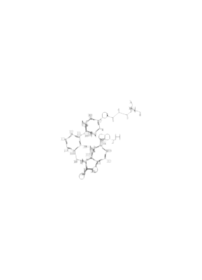 CN(C)CCCOc1cnc(-c2cccc(Cn3c(=O)oc4ccc(C(=O)O)nc43)c2)nc1